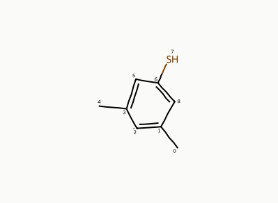 Cc1[c]c(C)cc(S)c1